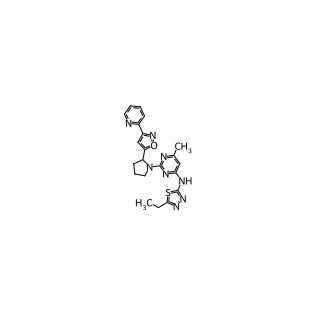 CCc1nnc(Nc2cc(C)nc(N3CCCC3c3cc(-c4ccccn4)no3)n2)s1